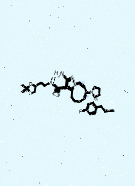 CCCc1ccc(F)cc1[C@H]1CCCN1C1=C/CCCc2c(C(=O)NCCC3COC(C)(C)O3)c(N)nn2/C=C\1